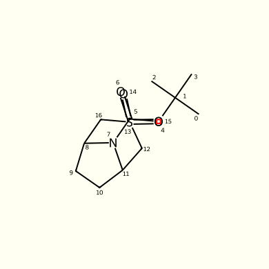 CC(C)(C)OC(=O)N1C2CCC1CS(=O)(=O)C2